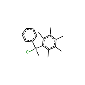 Cc1c(C)c(C)c([Si](C)(Cl)c2ccccc2)c(C)c1C